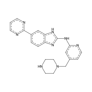 c1cnc(-c2ccc3nc(Nc4cc(CN5CCNCC5)ccn4)[nH]c3c2)nc1